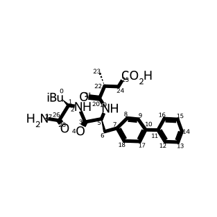 CC[C@H](C)C(NC(=O)[C@H](Cc1ccc(-c2ccccc2)cc1)NC(=O)[C@H](C)CC(=O)O)C(N)=O